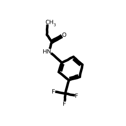 CCC(=O)Nc1cccc(C(F)(F)F)c1